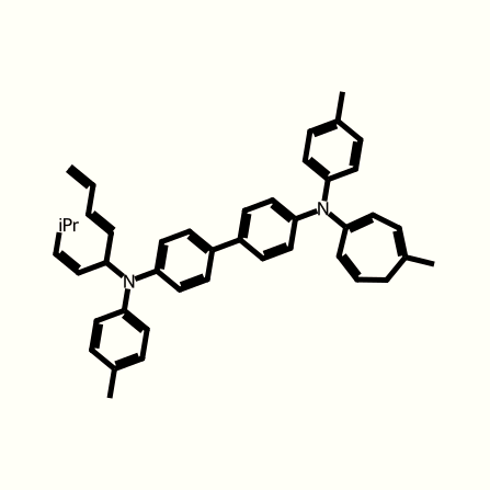 C=CC=CC(/C=C\C(C)C)N(c1ccc(C)cc1)c1ccc(-c2ccc(N(C3=CC=C(C)CC=C3)c3ccc(C)cc3)cc2)cc1